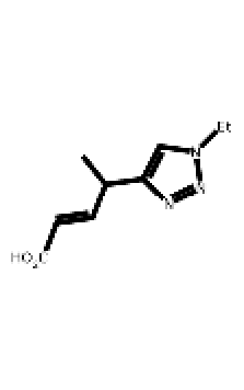 CCn1cc(C(C)C=CC(=O)O)nn1